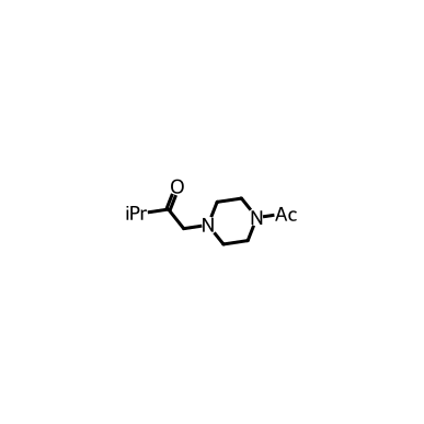 CC(=O)N1CCN(CC(=O)C(C)C)CC1